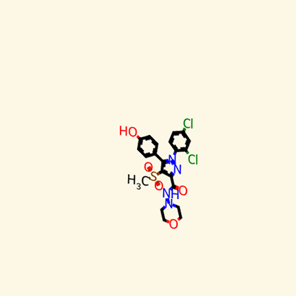 CS(=O)(=O)c1c(C(=O)NN2CCOCC2)nn(-c2ccc(Cl)cc2Cl)c1-c1ccc(O)cc1